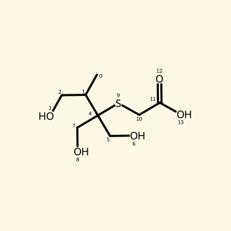 CC(CO)C(CO)(CO)SCC(=O)O